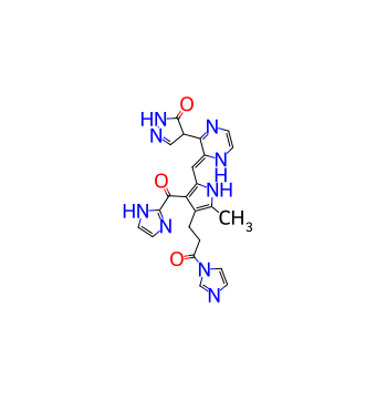 Cc1[nH]c(C=C2NC=CN=C2C2C=NNC2=O)c(C(=O)c2ncc[nH]2)c1CCC(=O)n1ccnc1